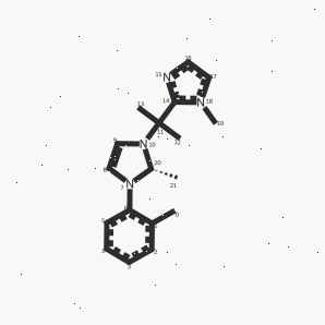 Cc1ccccc1N1C=CN(C(C)(C)c2nccn2C)[C@@H]1C